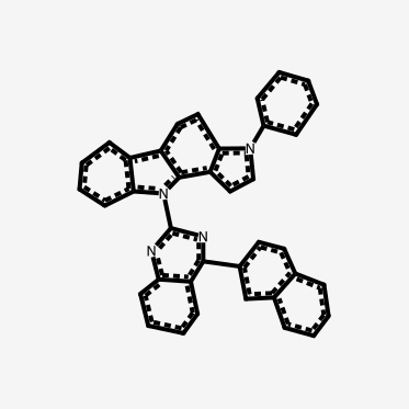 c1ccc(-n2ccc3c2ccc2c4ccccc4n(-c4nc(-c5ccc6ccccc6c5)c5ccccc5n4)c23)cc1